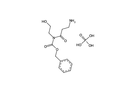 NCCC(=O)N(CCO)C(=O)OCc1ccccc1.O=P(O)(O)O